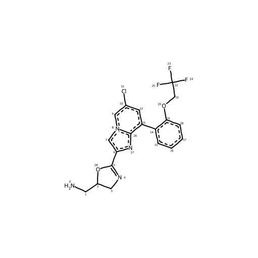 NCC1CN=C(c2cn3cc(Cl)cc(-c4ccccc4OCC(F)(F)F)c3n2)O1